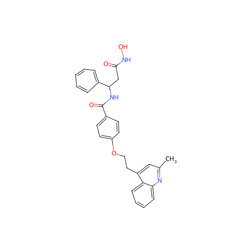 Cc1cc(CCOc2ccc(C(=O)NC(CC(=O)NO)c3ccccc3)cc2)c2ccccc2n1